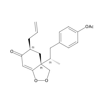 C=CC[C@H]1C[C@@]2([C@@H](C)Cc3ccc(OC(C)=O)cc3)COOC2=CC1=O